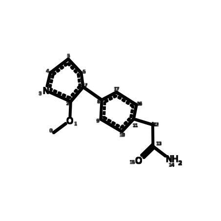 COc1ncccc1-c1ccc([CH]C(N)=O)cc1